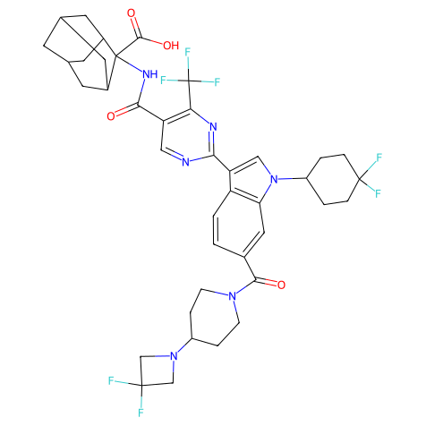 O=C(NC1(C(=O)O)C2CC3CC(C2)CC1C3)c1cnc(-c2cn(C3CCC(F)(F)CC3)c3cc(C(=O)N4CCC(N5CC(F)(F)C5)CC4)ccc23)nc1C(F)(F)F